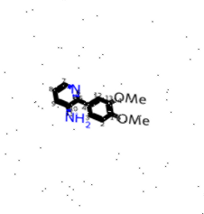 COc1ccc(-c2ncccc2N)cc1OC